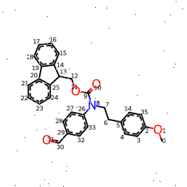 COc1ccc(CCN(C(=O)OCC2c3ccccc3-c3ccccc32)c2ccc(C=O)cc2)cc1